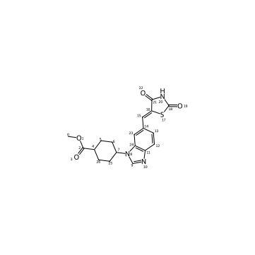 COC(=O)C1CCC(n2cnc3ccc(/C=C4\SC(=O)NC4=O)cc32)CC1